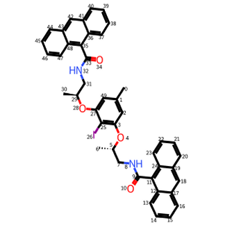 Cc1cc(O[C@@H](C)CNC(=O)c2c3ccccc3cc3ccccc23)c(I)c(O[C@@H](C)CNC(=O)c2c3ccccc3cc3ccccc23)c1